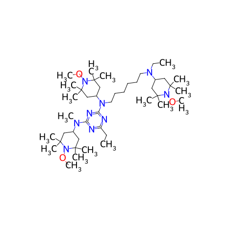 CCc1nc(N(C)C2CC(C)(C)N(OC)C(C)(C)C2)nc(N(CCCCCCN(CC)C2CC(C)(C)N(OC)C(C)(C)C2)C2CC(C)(C)N(OC)C(C)(C)C2)n1